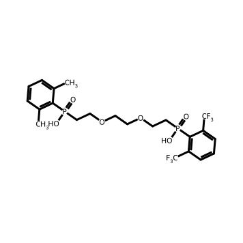 Cc1cccc(C)c1P(=O)(O)CCOCCOCCP(=O)(O)c1c(C(F)(F)F)cccc1C(F)(F)F